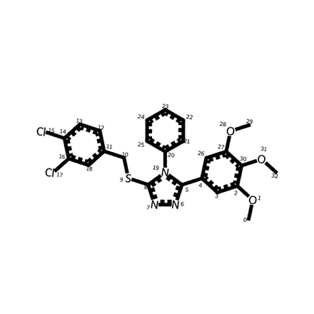 COc1cc(-c2nnc(SCc3ccc(Cl)c(Cl)c3)n2-c2ccccc2)cc(OC)c1OC